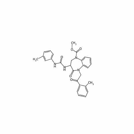 COC(=O)N1CC(NC(=O)Nc2cccc(C)c2)C(=O)N(CC(=O)c2ccccc2C)c2ccccc21